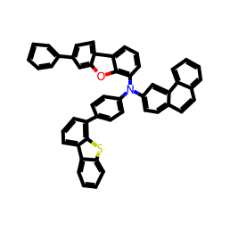 c1ccc(-c2ccc3c(c2)oc2c(N(c4ccc(-c5cccc6c5sc5ccccc56)cc4)c4ccc5ccc6ccccc6c5c4)cccc23)cc1